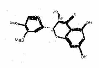 COc1ccc([C@H]2Oc3cc(O)cc(O)c3C(=O)[C@@H]2O)cc1OC